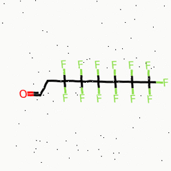 O=[C]CC(F)(F)C(F)(F)C(F)(F)C(F)(F)C(F)(F)C(F)(F)F